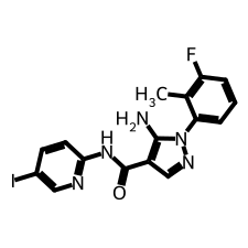 Cc1c(F)cccc1-n1ncc(C(=O)Nc2ccc(I)cn2)c1N